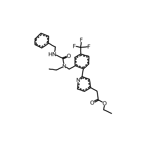 CCOC(=O)Cc1ccnc(-c2ccc(C(F)(F)F)cc2CN(CC)C(=O)NCc2ccccc2)c1